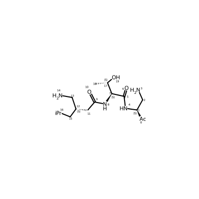 CC(=O)[C@H](CN)NC(=O)[C@@H](NC(=O)C[C@@H](CN)CC(C)C)[C@H](C)O